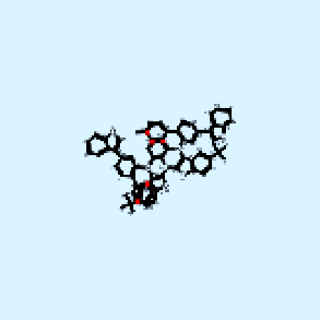 CC(C)c1cc2c3c(c1)N(c1cc(-c4coc5ccccc45)ccc1-c1ccccc1)c1c(oc4ccc(C(C)(C)C)cc14)B3c1oc3ccc(C(C)(C)C)cc3c1N2c1cc(-c2coc3ccccc23)ccc1-c1ccccc1